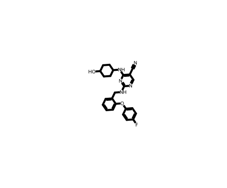 N#Cc1cnc(NCc2ccccc2Oc2ccc(F)cc2)nc1NC1CCC(O)CC1